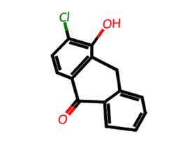 O=C1c2ccccc2Cc2c1ccc(Cl)c2O